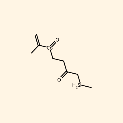 C=[C](C)[Co](=[O])[CH2]CC(=O)C[SiH2]C